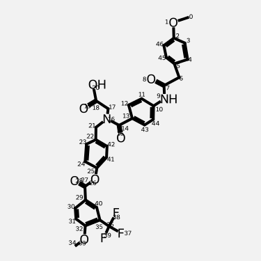 COc1ccc(CC(=O)Nc2ccc(C(=O)N(CC(=O)O)Cc3ccc(OC(=O)c4ccc(OC)c(C(F)(F)F)c4)cc3)cc2)cc1